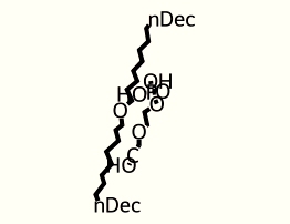 CCCCCCCCCCCCCCCCCCOCCCCCCCCCCCCCCCCCC.O=P(O)(O)OCCOCCO